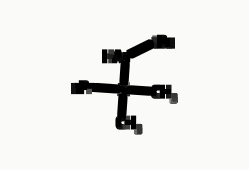 CCC[Si](C)(C)[AsH]C(C)(C)C